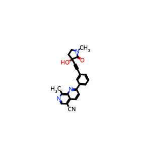 Cc1ncc(C#N)c2ccc(-c3cccc(C#C[C@]4(O)CCN(C)C4=O)c3)nc12